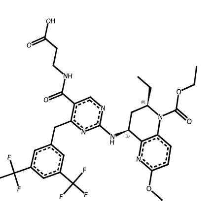 CCOC(=O)N1c2ccc(OC)nc2[C@@H](Nc2ncc(C(=O)NCCC(=O)O)c(Cc3cc(C(F)(F)F)cc(C(F)(F)F)c3)n2)C[C@H]1CC